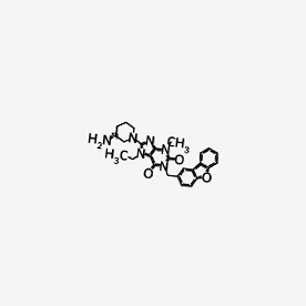 CCn1c(N2CCC[C@@H](N)C2)nc2c1c(=O)n(Cc1ccc3oc4ccccc4c3c1)c(=O)n2C